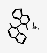 C[SiH3].Cc1ccc2ccccc2c1-c1c(C)ccc2ccccc12